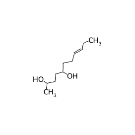 CC/C=C/CCC(O)CCC(C)O